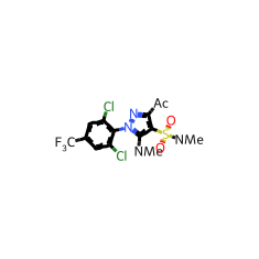 CNc1c(S(=O)(=O)NC)c(C(C)=O)nn1-c1c(Cl)cc(C(F)(F)F)cc1Cl